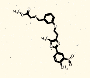 COC(=O)CSCc1cccc(OCCc2nc(-c3ccc(C)c([N+](=O)[O-])c3)oc2C)c1